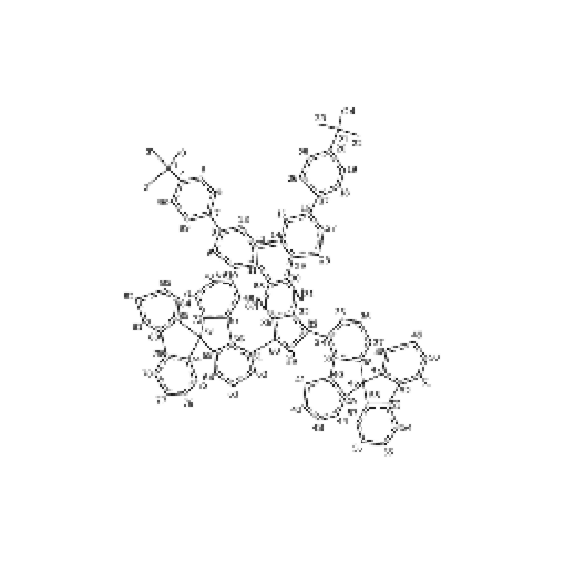 CC(C)(C)c1ccc(-c2ccc3c(c2)c2cc(-c4ccc(C(C)(C)C)cc4)ccc2c2nc4c(-c5cccc6c5-c5ccccc5C65c6ccccc6-c6ccccc65)sc(-c5cccc6c5-c5ccccc5C65c6ccccc6-c6ccccc65)c4nc32)cc1